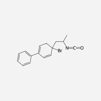 CC(CC1(Br)C=CC(c2ccccc2)=CC1)N=C=O